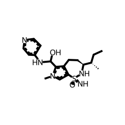 CC[C@H](C)[C@@H]1CCc2c(cn(C)c2C(O)Nc2ccncc2)S(=N)(=O)N1